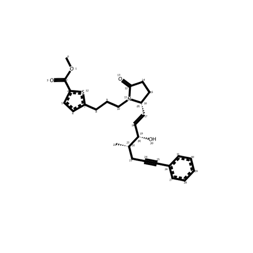 COC(=O)c1ccc(CCCN2C(=O)CC[C@@H]2C=C[C@H](O)[C@@H](C)CC#Cc2ccccc2)s1